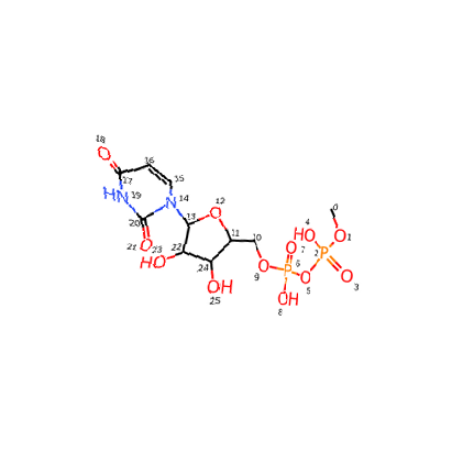 COP(=O)(O)OP(=O)(O)OCC1OC(n2ccc(=O)[nH]c2=O)C(O)C1O